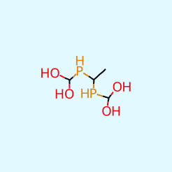 CC(PC(O)O)PC(O)O